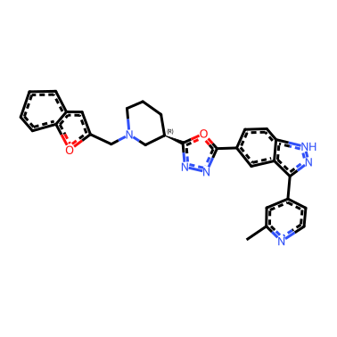 Cc1cc(-c2n[nH]c3ccc(-c4nnc([C@@H]5CCCN(Cc6cc7ccccc7o6)C5)o4)cc23)ccn1